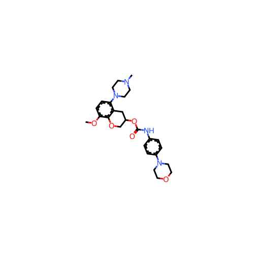 COc1ccc(N2CCN(C)CC2)c2c1OCC(OC(=O)Nc1ccc(N3CCOCC3)cc1)C2